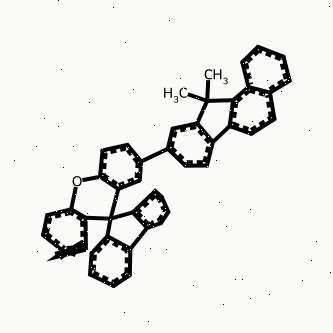 CC1(C)c2cc(-c3ccc4c(c3)C3(c5ccccc5-c5ccccc53)c3c(ccc5ccccc35)O4)ccc2-c2ccc3ccccc3c21